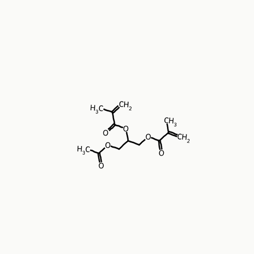 C=C(C)C(=O)OCC(COC(C)=O)OC(=O)C(=C)C